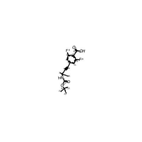 CC(C)(C#Cc1cc(F)c(C(=O)O)c(F)c1)NC(=O)OC(C)(C)C